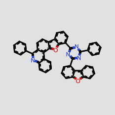 c1ccc(-c2nc(-c3cccc4c3oc3c4ccc4c(-c5ccccc5)nc5ccccc5c43)nc(-c3cccc4oc5ccccc5c34)n2)cc1